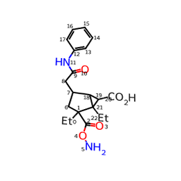 CCC1(C(=O)ON)CC(CC(=O)Nc2ccccc2)C2C(C(=O)O)C21CC